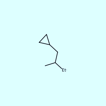 C[CH]C(C)CC1CC1